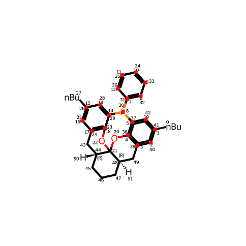 CCCCc1cc2c(c(P(c3ccccc3)c3ccccc3)c1)OC13Oc4c(cc(CCCC)cc4P(c4ccccc4)c4ccccc4)C[C@H]1CCC[C@@H]3C2